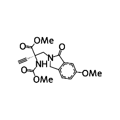 C#C[C@](CN1Cc2ccc(OC)cc2C1=O)(NC(=O)OC)C(=O)OC